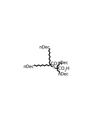 CCCCCCCCCCCCCCCCCCC(CCCCCCCCCCCCCCCCCC)(CSCC(CCCCCCCCCCCC)(CCCCCCCCCCCC)C(=O)O)C(=O)O